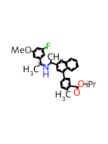 COc1cc(F)cc([C@@H](C)NC(C)c2cc(-c3ccc(C)c(C(=O)OC(C)C)c3)c3ccccc3c2)c1